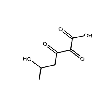 CC(O)CC(=O)C(=O)C(=O)O